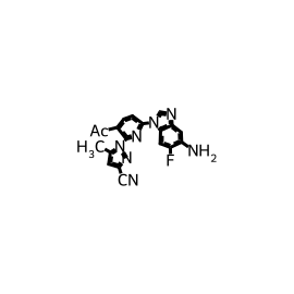 CC(=O)c1ccc(-n2cnc3cc(N)c(F)cc32)nc1-n1nc(C#N)cc1C